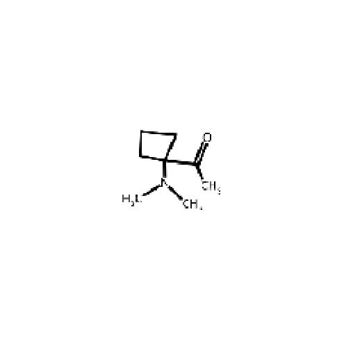 CC(=O)C1(N(C)C)CCC1